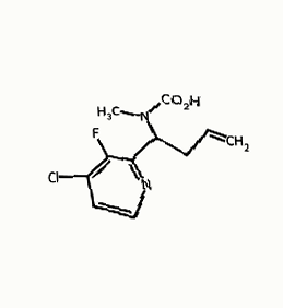 C=CCC(c1nccc(Cl)c1F)N(C)C(=O)O